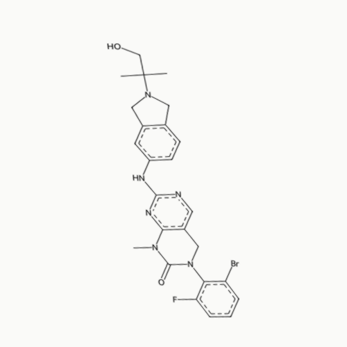 CN1C(=O)N(c2c(F)cccc2Br)Cc2cnc(Nc3ccc4c(c3)CN(C(C)(C)CO)C4)nc21